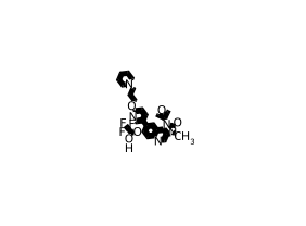 Cn1c(=O)n(C2COC2)c2c3cc(-c4ccc(OCCCN5CCCCC5)nc4)ccc3ncc21.O=C(O)C(F)(F)F